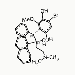 COc1c(O)c(Br)cc(O)c1[C@@H](c1ccccc1)[C@@](O)(CCN(C)C)c1cccc2ccccc12